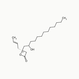 CC=CC[C@]1(CC(O)CCCCCCCCCCC)CC(=O)O1